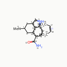 CNC1Cc2c[nH]c3ccc(C(N)=O)c(c23)C1.O=C(O)/C=C\C(=O)O